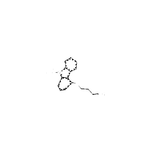 CCCCOc1cccc2c1c1ccccc1n2C